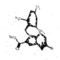 COC(=O)c1cc2cc(Br)cnc2n1Cc1c(C)cc(C)cc1C